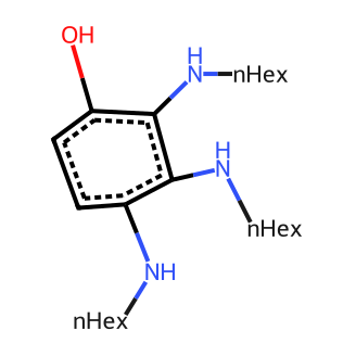 CCCCCCNc1ccc(O)c(NCCCCCC)c1NCCCCCC